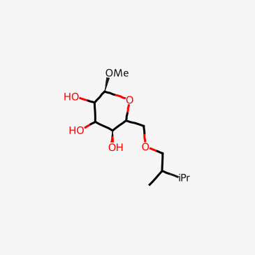 CO[C@H]1OC(COCC(C)C(C)C)[C@@H](O)C(O)C1O